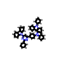 c1ccc(-c2nc(-c3ccc(-n4c5ccccc5c5ccc6c(c7ccccc7n6-c6ccccc6)c54)cc3)cc(-n3c4ccccc4c4ccccc43)n2)cc1